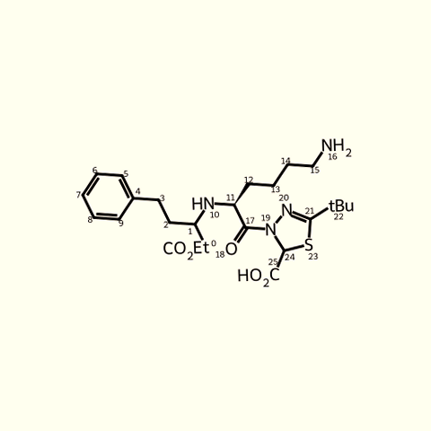 CCOC(=O)C(CCc1ccccc1)N[C@@H](CCCCN)C(=O)N1N=C(C(C)(C)C)SC1C(=O)O